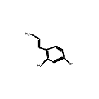 CC=Cc1ccc(Br)cc1O